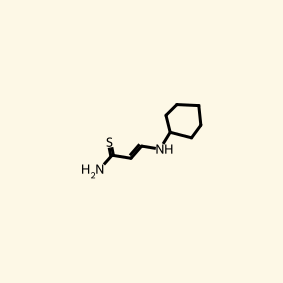 NC(=S)C=CNC1CCCCC1